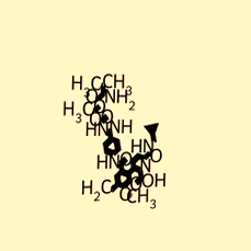 C=Cc1cc(C(=O)Nc2ccc(C(=N)NC(=O)OC(C)OC(=O)C(N)C(C)C)cc2)c(-c2ccc(C(=O)NCC3CC3)nc2C(=O)O)cc1OC